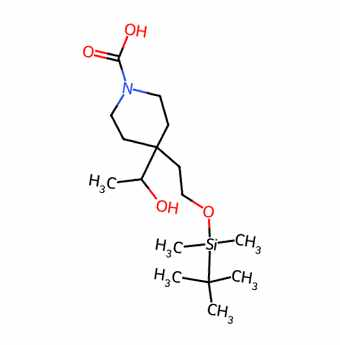 CC(O)C1(CCO[Si](C)(C)C(C)(C)C)CCN(C(=O)O)CC1